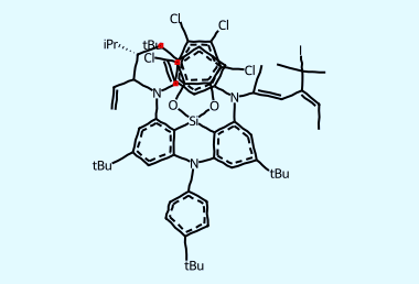 C=CC([C@@H](C)C(C)C)N(C=C)c1cc(C(C)(C)C)cc2c1[Si]1(Oc3c(Cl)c(Cl)c(Cl)c(Cl)c3O1)c1c(N(/C(C)=C/C(=C\C)C(C)(C)I)c3ccc(C(C)(C)C)cc3)cc(C(C)(C)C)cc1N2c1ccc(C(C)(C)C)cc1